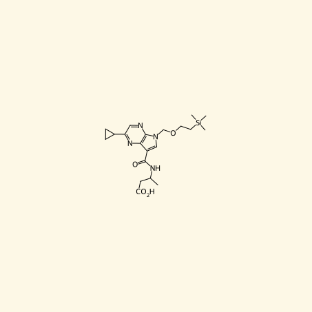 CC(CC(=O)O)NC(=O)c1cn(COCC[Si](C)(C)C)c2ncc(C3CC3)nc12